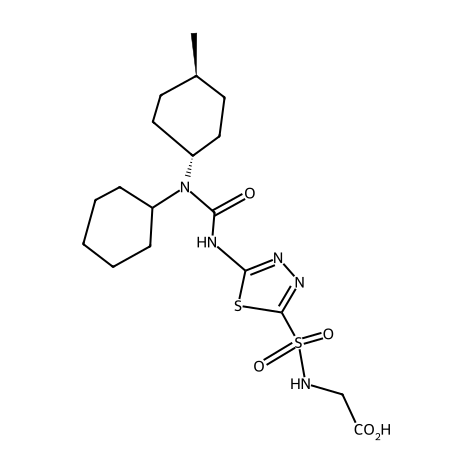 C[C@H]1CC[C@H](N(C(=O)Nc2nnc(S(=O)(=O)NCC(=O)O)s2)C2CCCCC2)CC1